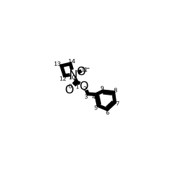 O=C(OCc1ccccc1)[N+]1([O-])CCC1